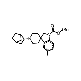 Cc1ccc2c(c1)C1(CCN(C3CC4CCC3C4)CC1)CN2C(=O)OC(C)(C)C